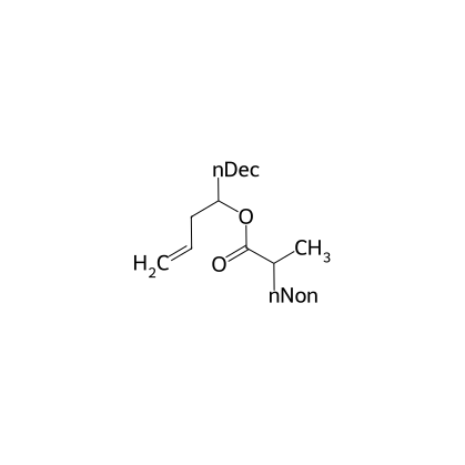 C=CCC(CCCCCCCCCC)OC(=O)C(C)CCCCCCCCC